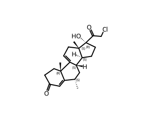 C[C@H]1C[C@@H]2C(=CC[C@@]3(C)[C@H]2CC[C@]3(O)C(=O)CCl)[C@@]2(C)CCC(=O)C=C12